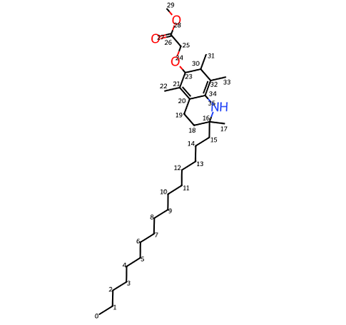 CCCCCCCCCCCCCCCCC1(C)CCC2=C(C)C(OCC(=O)OC)C(C)C(C)=C2N1